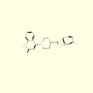 Cn1c(=O)cc(N2CCC(c3nc4cc(F)ccc4s3)CC2)c2ccccc21